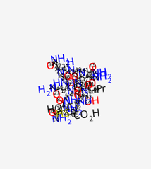 CCC(C)C(=O)N(CCNC(=O)[C@@H](N)CCC(N)=O)[C@@H](CCC(N)=O)C(=O)NCCN(CCC(N)=O)[C@@H](C)C(=O)NCCN(CCC(N)=O)[C@@H](CCC(N)=O)C(=O)NCCN(C(=O)CC(C)C)[C@@H](CO)C(=O)NCCN(C(=O)O)[C@@H](CS)C(=O)O